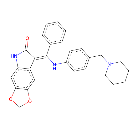 O=C1Nc2cc3c(cc2C1=C(Nc1ccc(CN2CCCCC2)cc1)c1ccccc1)OCO3